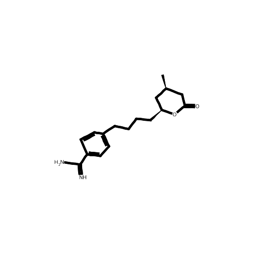 C[C@H]1CC(=O)O[C@@H](CCCCc2ccc(C(=N)N)cc2)C1